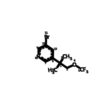 CC(C)(COC(F)(F)F)c1cncc(Br)c1